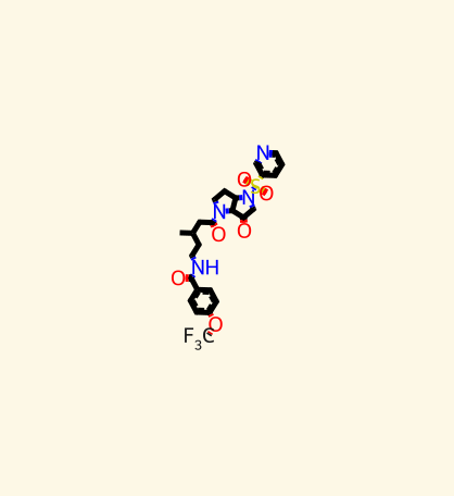 CC(CCNC(=O)c1ccc(OC(F)(F)F)cc1)CC(=O)N1CCC2C1C(=O)CN2S(=O)(=O)c1cccnc1